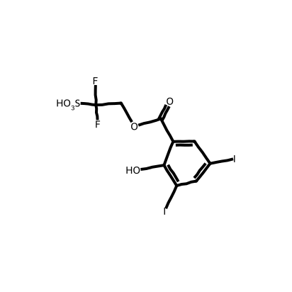 O=C(OCC(F)(F)S(=O)(=O)O)c1cc(I)cc(I)c1O